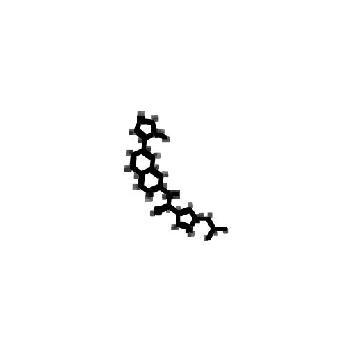 CC(C)Cn1cc(C(=O)Nc2cc3cc(-c4cncn4C)ccc3cn2)cn1